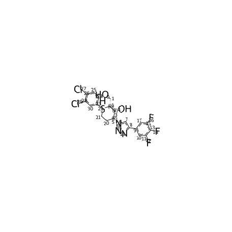 OC[C@@H]1[C@H](O)[C@H](n2cc(-c3cc(F)c(F)c(F)c3)nn2)CC[SH]1c1ccc(Cl)c(Cl)c1